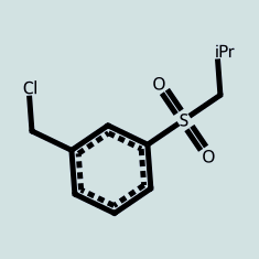 CC(C)CS(=O)(=O)c1cccc(CCl)c1